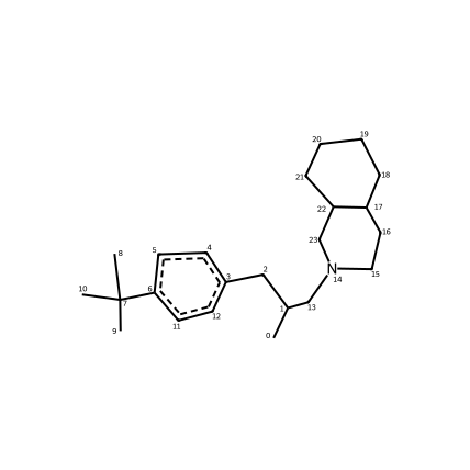 CC(Cc1ccc(C(C)(C)C)cc1)CN1CCC2CCCCC2C1